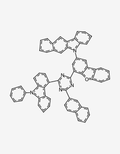 c1ccc(-n2c3ccccc3c3c(-c4nc(-c5ccc6ccccc6c5)nc(-c5cc(-n6c7ccccc7c7cc8ccccc8cc76)cc6c5oc5ccccc56)n4)cccc32)cc1